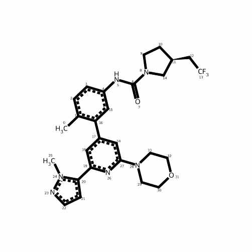 Cc1ccc(NC(=O)N2CC[C@@H](CC(F)(F)F)C2)cc1-c1cc(-c2ccnn2C)nc(N2CCOCC2)c1